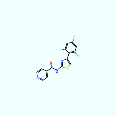 O=C(Nc1nc(-c2c(F)cc(F)cc2F)cs1)c1ccncc1